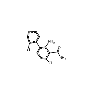 NC(=O)c1c(Cl)ccc(-c2ccccc2Cl)c1N